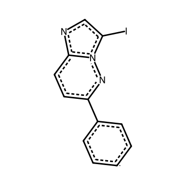 Ic1cnc2ccc(-c3cc[c]cc3)nn12